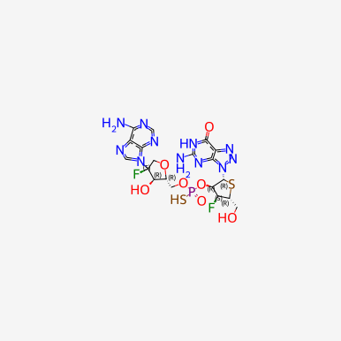 Nc1nc2c(nnn2[C@@H]2S[C@H](CO)[C@@H](F)[C@H]2OP(=O)(S)OC[C@H]2OC[C@@](F)(n3cnc4c(N)ncnc43)[C@@H]2O)c(=O)[nH]1